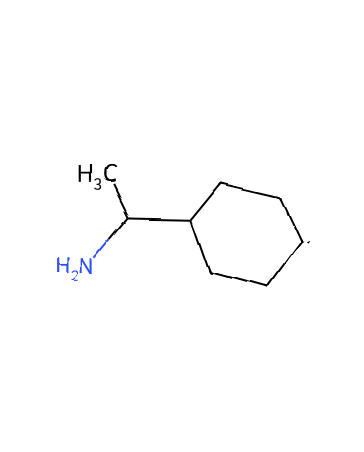 CC(N)C1CC[CH]CC1